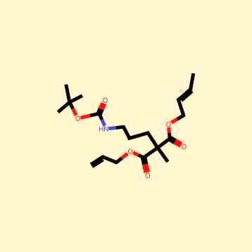 C=CCOC(=O)C(C)(CCCNC(=O)OC(C)(C)C)C(=O)OC/C=C/C